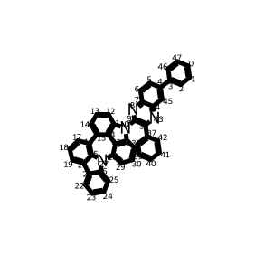 c1ccc(-c2ccc3nc(-n4c5cccc6c7cccc8c9ccccc9n(c9cccc4c9c65)c78)c(-c4ccccc4)nc3c2)cc1